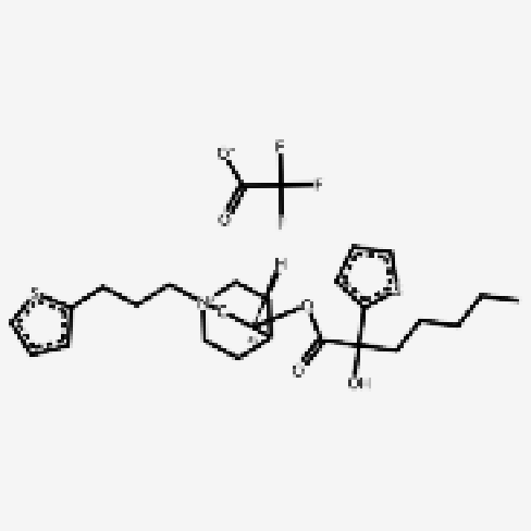 CCCCCC(O)(C(=O)O[C@H]1C[N+]2(CCCc3cccs3)CCC1CC2)c1cccs1.O=C([O-])C(F)(F)F